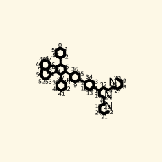 c1ccc(-c2cc(-c3ccc(-c4ccc(-c5cc(-c6ccccn6)nc(-c6ccccn6)c5)cc4)cc3)c(-c3ccccc3)c3c2-c2cccc4cccc-3c24)cc1